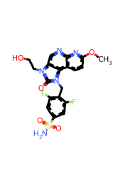 COc1ccc2c(ncc3c2n(Cc2c(F)cc(S(N)(=O)=O)cc2F)c(=O)n3CCO)n1